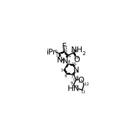 CC(C)c1nn(-c2ccc([C@@H]3CNCCO3)nc2)c(C(N)=O)c1F